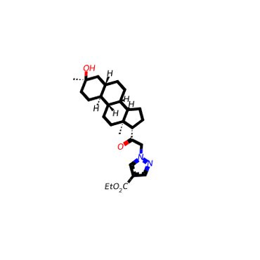 CCOC(=O)c1cnn(CC(=O)[C@H]2CC[C@H]3[C@@H]4CC[C@H]5C[C@](C)(O)CC[C@@H]5[C@H]4CC[C@]23C)c1